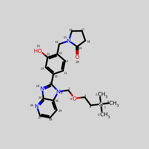 C[Si](C)(C)CCOCn1c(-c2ccc(CN3CCCC3=O)c(O)c2)nc2ncccc21